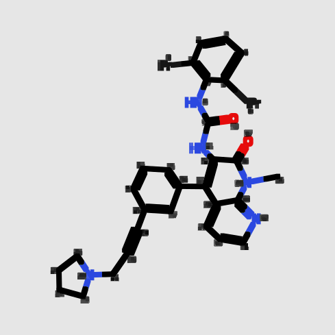 CC(C)c1cccc(C(C)C)c1NC(=O)Nc1c(-c2cccc(C#CCN3CCCC3)c2)c2cccnc2n(C)c1=O